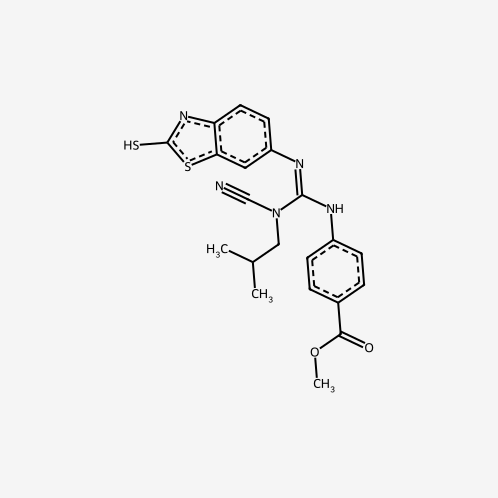 COC(=O)c1ccc(NC(=Nc2ccc3nc(S)sc3c2)N(C#N)CC(C)C)cc1